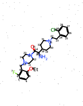 CCOc1cccc(F)c1CN1CCN(C(=O)[C@H](N)C2CCN(CCc3ccccc3Cl)CC2)CC1